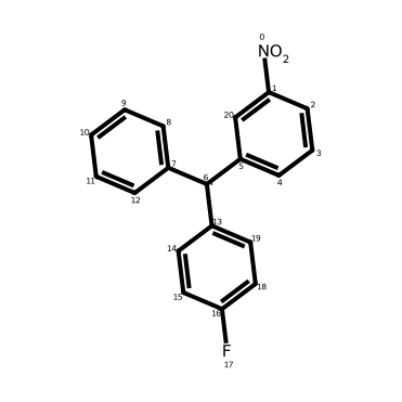 O=[N+]([O-])c1cccc([C](c2ccccc2)c2ccc(F)cc2)c1